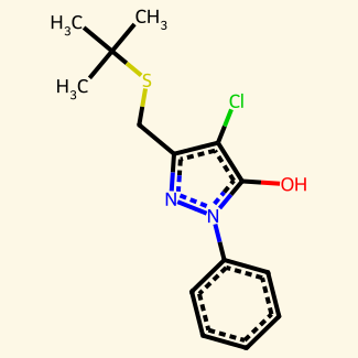 CC(C)(C)SCc1nn(-c2ccccc2)c(O)c1Cl